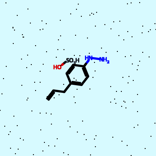 C=CCc1ccc(NN)cc1.O=S(=O)(O)O